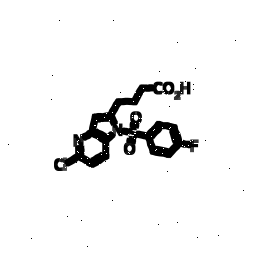 O=C(O)CCCc1cc2nc(Cl)ccc2n1S(=O)(=O)c1ccc(F)cc1